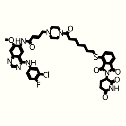 COc1cc2ncnc(Nc3ccc(F)c(Cl)c3)c2cc1NC(=O)/C=C/CN1CCN(C(=O)CCCCCCSc2cccc3c2C(=O)N(C2CCC(=O)NC2=O)C3=O)CC1